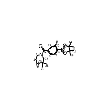 CN1CCN(C(=O)c2ccc(B3OC(C)(C)C(C)(C)O3)c(F)c2)CC1(C)C